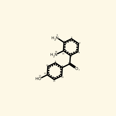 Nc1cccc(C(=O)c2ccc(O)cc2)c1N